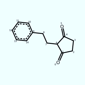 O=C1CCC(=O)C1CCc1ccccc1